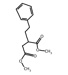 COC(=O)CC(CCc1ccccc1)C(=O)OC